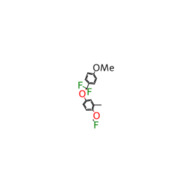 COc1ccc(C(F)(F)Oc2ccc(OCF)c(C)c2)cc1